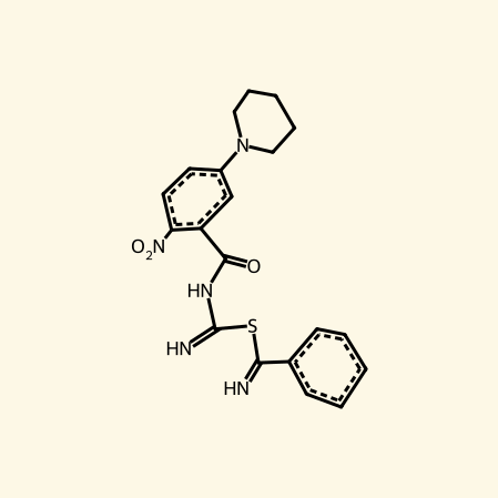 N=C(NC(=O)c1cc(N2CCCCC2)ccc1[N+](=O)[O-])SC(=N)c1ccccc1